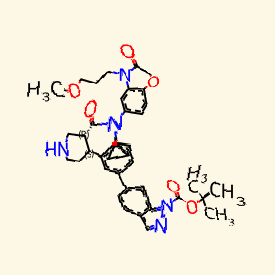 COCCCN1C(=O)COc2ccc(N(C(=O)[C@H]3CNCC[C@@H]3c3cccc(-c4ccc5cnn(C(=O)OC(C)(C)C)c5c4)c3)C3CC3)cc21